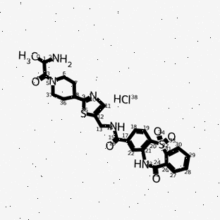 CC(N)C(=O)N1CCC(c2ncc(CNC(=O)c3ccc4c(c3)NC(=O)c3ccccc3S4(=O)=O)s2)CC1.Cl